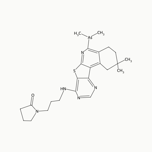 C[As](C)c1nc2sc3c(NCCCN4CCCC4=O)ncnc3c2c2c1CCC(C)(C)C2